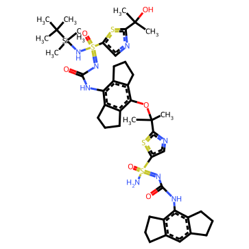 CC(C)(O)c1ncc(S(=O)(=NC(=O)Nc2c3c(c(OC(C)(C)c4ncc(S(N)(=O)=NC(=O)Nc5c6c(cc7c5CCC7)CCC6)s4)c4c2CCC4)CCC3)N[Si](C)(C)C(C)(C)C)s1